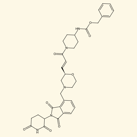 O=C1CCC(N2C(=O)c3cccc(CN4CCO[C@H](/C=C/C(=O)N5CCC(NC(=O)OCc6ccccc6)CC5)C4)c3C2=O)C(=O)N1